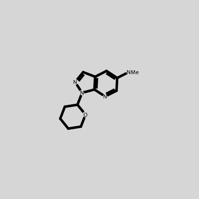 CNc1cnc2c(cnn2C2CCCCO2)c1